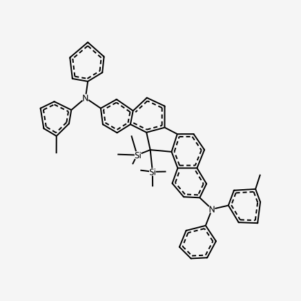 Cc1cccc(N(c2ccccc2)c2ccc3c4c(ccc3c2)-c2ccc3cc(N(c5ccccc5)c5cccc(C)c5)ccc3c2C4([Si](C)(C)C)[Si](C)(C)C)c1